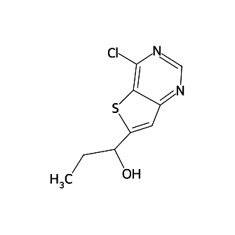 CCC(O)c1cc2ncnc(Cl)c2s1